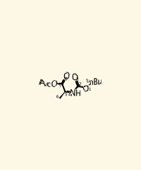 CCCCOC(=O)N[C@@H](C)C(=O)OC(C)=O